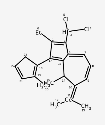 CCC1=[C]([Hf]([Cl])[Cl])C2=CC=C[C](=[Ge]([CH3])[CH3])C(C)C2=C1C1=C(C)C=CC1